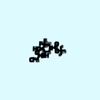 CC(C)(C)OC(=O)N1CC(NC(=O)CCl)C(O)C(F)(F)C1